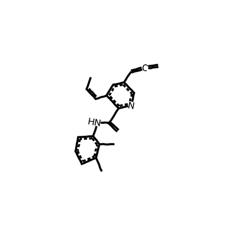 C=C=Cc1cnc(C(=C)Nc2cccc(C)c2C)c(/C=C\C)c1